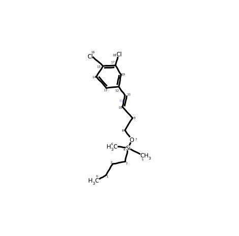 CCCC[Si](C)(C)OCC/C=C/c1ccc(Cl)c(Cl)c1